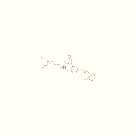 CCCN(CCC)CCCCN(Cc1ccc(C/N=C/c2nccn2C)cc1)C(C)OC(C)=O